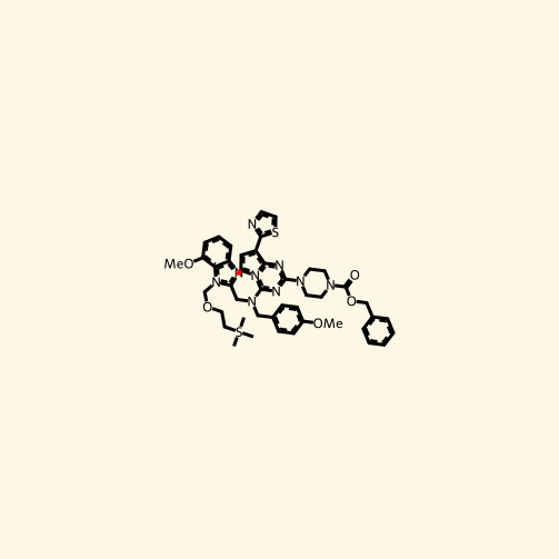 COc1ccc(CN(Cc2nc3cccc(OC)c3n2COCCS(C)(C)C)c2nc(N3CCN(C(=O)OCc4ccccc4)CC3)nc3c(-c4nccs4)ccn23)cc1